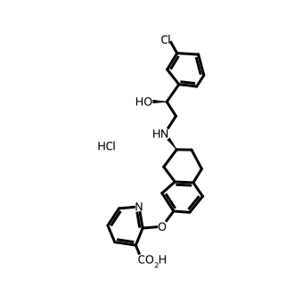 Cl.O=C(O)c1cccnc1Oc1ccc2c(c1)C[C@@H](NC[C@@H](O)c1cccc(Cl)c1)CC2